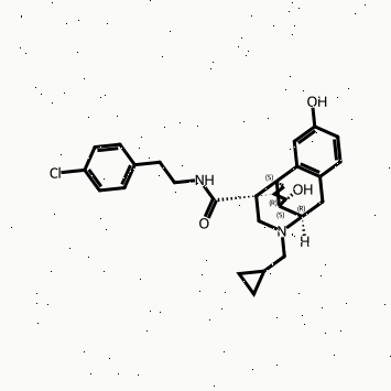 O=C(NCCc1ccc(Cl)cc1)[C@@H]1C[C@]23CCN(CC4CC4)[C@H](Cc4ccc(O)cc42)[C@]3(O)C1